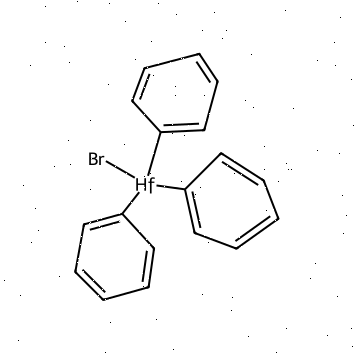 [Br][Hf]([c]1ccccc1)([c]1ccccc1)[c]1ccccc1